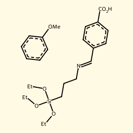 CCO[Si](CCCN=Cc1ccc(C(=O)O)cc1)(OCC)OCC.COc1ccccc1